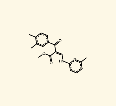 COC(=O)/C(=C\Nc1cccc(C)n1)C(=O)c1ccc(C)c(C)c1